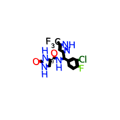 O=C1NC[C@@H](C(=O)NC(c2ccc(F)c(Cl)c2)c2cc(C(F)(F)F)[nH]n2)N1